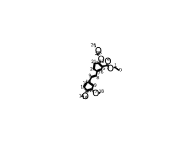 CCOC(=O)c1cc(C=Cc2ccc(OC)c(OC)c2)ccc1OCOC